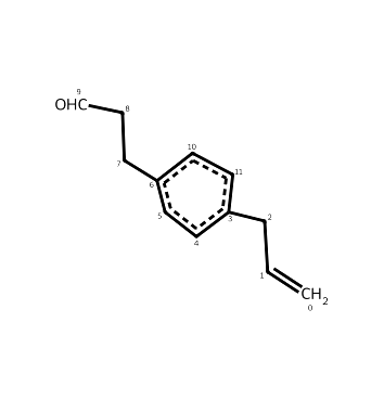 C=CCc1ccc(CCC=O)cc1